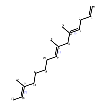 C=CC/C=C(\C)C/C(C)=C/CCCC/C(C)=C/C